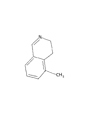 Cc1cccc2c1CCN=C2